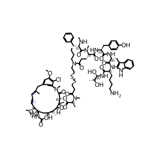 CCCCN(CCSSCCC(=O)N(C)[C@@H](C)C(=O)O[C@H]1C(=O)N(C)c2cc(cc(OC)c2Cl)C/C(C)=C/C=C/[C@@H](OC)[C@@]2(O)C[C@H](OC(=O)N2)[C@@H](C)[C@@H]2O[C@@]12C)C(=O)CC[C@@H](C(=O)N[C@@H](Cc1ccc(O)cc1)C(=O)N[C@H](Cc1c[nH]c2ccccc12)C(=O)N[C@@H](CCCCN)C(=O)N[C@H](O)[C@@H](C)O)N(C)C(=O)[C@H](Cc1ccccc1)NC